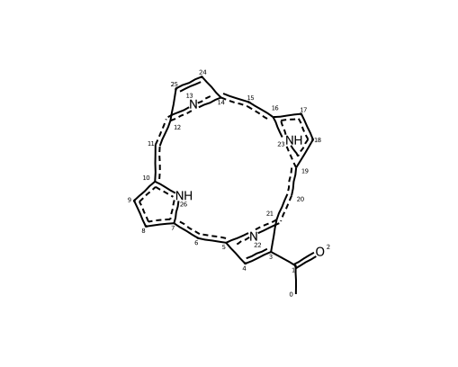 CC(=O)C1=Cc2cc3ccc(cc4nc(cc5ccc(cc1n2)[nH]5)C=C4)[nH]3